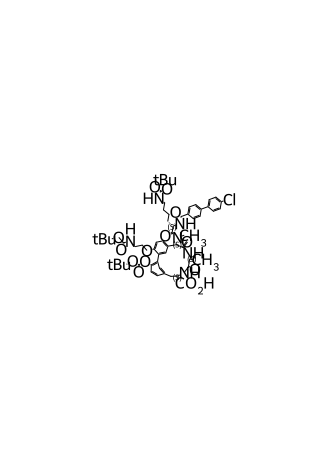 C[C@@H]1NC(=O)[C@@H](N(C)C(=O)[C@H](CCCCNC(=O)OC(C)(C)C)NC(=O)c2ccc(-c3ccc(Cl)cc3)cc2)c2ccc(OCCNC(=O)OC(C)(C)C)c(c2)-c2cc(ccc2OC(=O)OC(C)(C)C)C[C@@H](C(=O)O)NC1=O